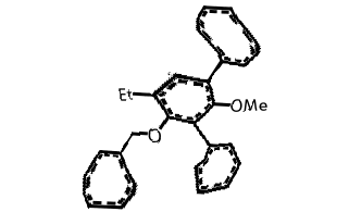 CCc1[c]c(-c2ccccc2)c(OC)c(-c2ccccc2)c1OCc1ccccc1